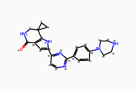 O=C1NCC2(CC2)c2[nH]c(-c3ccnc(-c4ccc(N5CCNCC5)cc4)n3)cc21